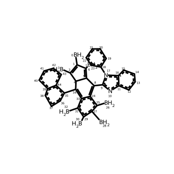 BC1=C(B)C2C(=C1B)C(c1nc3ccccc3n1-c1ccccc1)=c1c(B)c(B)c(B)c(B)c1=C2c1cccc2ccccc12